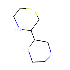 C1CNC(C2CSCCN2)CN1